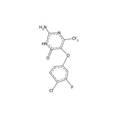 Nc1nc(C(F)(F)F)c(Oc2ccc(Cl)c(F)c2)c(=O)[nH]1